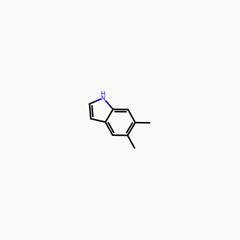 Cc1cc2cc[nH]c2cc1C